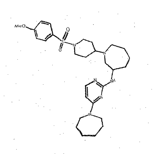 COc1ccc(S(=O)(=O)N2CCC(N3CCCCC(Nc4nccc(N5CCCCCC5)n4)C3)CC2)cc1